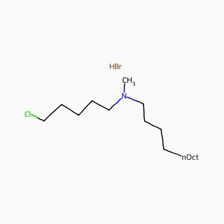 Br.CCCCCCCCCCCCN(C)CCCCCCl